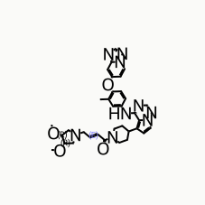 CO[C@@H]1CN(C/C=C/C(=O)N2CCC(c3ccn4ncnc(Nc5ccc(Oc6ccn7ncnc7c6)c(C)c5)c34)CC2)C[C@H]1OC